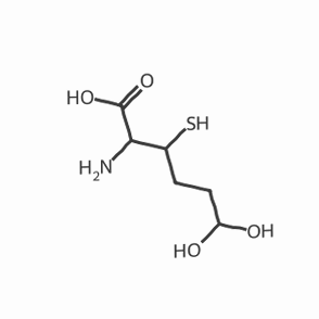 NC(C(=O)O)C(S)CCC(O)O